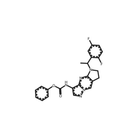 CC(c1cc(F)ccc1F)N1CCc2cn3ncc(NC(=O)Oc4ccccc4)c3nc21